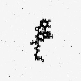 CCN(CCCCN)c1cnc2c(-c3ccnnc3Cl)n[nH]c2n1